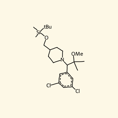 COC(C)(C)C(c1cc(Cl)cc(Cl)c1)N1CCC(CO[Si](C)(C)C(C)(C)C)CC1